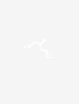 COO[P](=O)OSOC